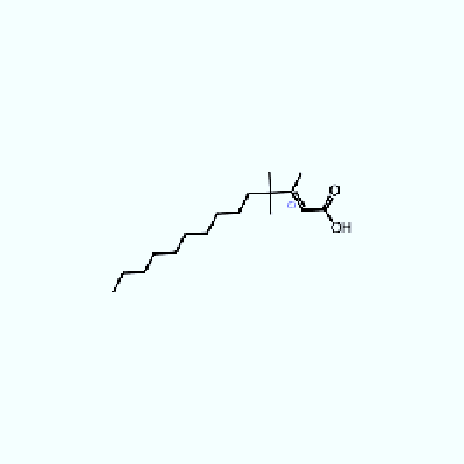 CCCCCCCCCCC(C)(C)/C(C)=C/C(=O)O